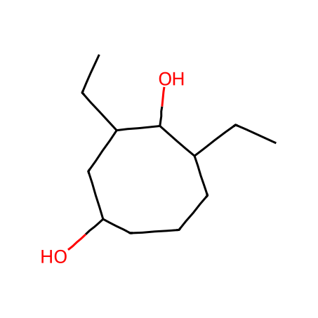 CCC1CCCC(O)CC(CC)C1O